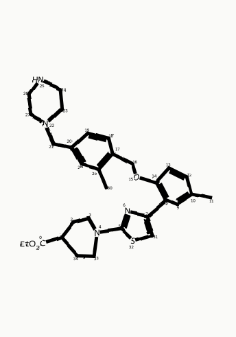 CCOC(=O)C1CCN(c2nc(-c3cc(C)ccc3OCc3ccc(CN4CCNCC4)cc3C)cs2)CC1